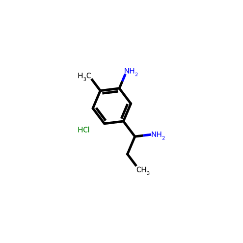 CCC(N)c1ccc(C)c(N)c1.Cl